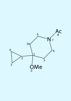 COC1(C2CC2)CCN(C(C)=O)CC1